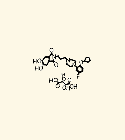 O=C(O)C(O)C(O)C(=O)O.O=C1C2CC(O)C(O)CC2C(=O)N1CCCN1CCN(c2cc(F)ccc2OC2CCCC2)CC1